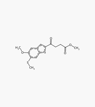 COC(=O)CCC(=O)c1cc2cc(OC)c(SC)cc2s1